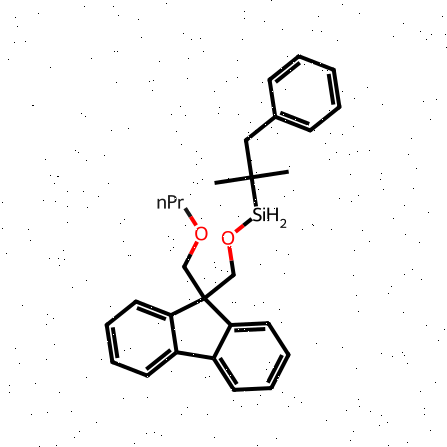 CCCOCC1(CO[SiH2]C(C)(C)Cc2ccccc2)c2ccccc2-c2ccccc21